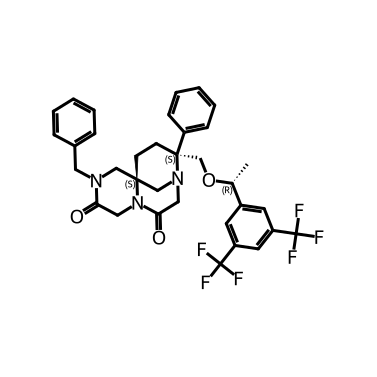 C[C@@H](OC[C@@]1(c2ccccc2)CC[C@]23CN(Cc4ccccc4)C(=O)CN2C(=O)CN1C3)c1cc(C(F)(F)F)cc(C(F)(F)F)c1